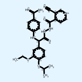 CCOc1cc(C(Nc2ccc(C(=N)N)cc2)C(=O)NNC(=O)c2ccncc2C#N)ccc1OC(C)C